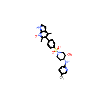 Cc1c(-c2ccc(S(=O)(=O)N3CC[C@@H](Nc4ccc(C(F)(F)F)cn4)[C@@H](O)C3)cc2)c(C)[n+]([O-])c2[nH]ccc12